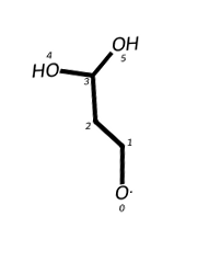 [O]CCC(O)O